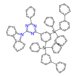 c1ccc(-c2cccc([Si](c3ccccc3)(c3ccccc3)c3cc(-c4nc(-c5ccccc5)nc(-n5c6ccccc6c6ccccc65)n4)cc([Si](c4ccccc4)(c4ccccc4)c4cccc(-c5ccccc5)c4)c3)c2)cc1